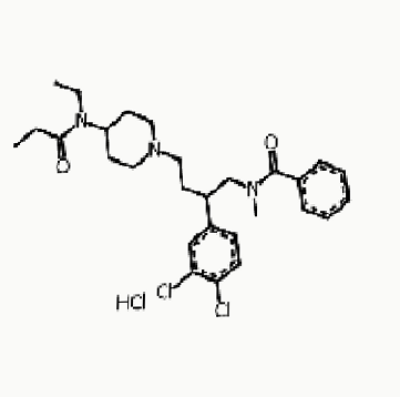 CCC(=O)N(CC)C1CCN(CCC(CN(C)C(=O)c2ccccc2)c2ccc(Cl)c(Cl)c2)CC1.Cl